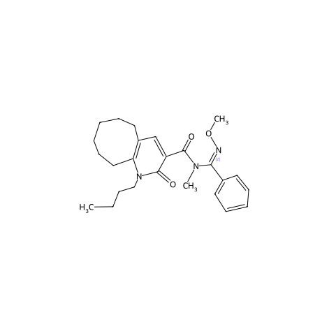 CCCCn1c2c(cc(C(=O)N(C)/C(=N\OC)c3ccccc3)c1=O)CCCCCC2